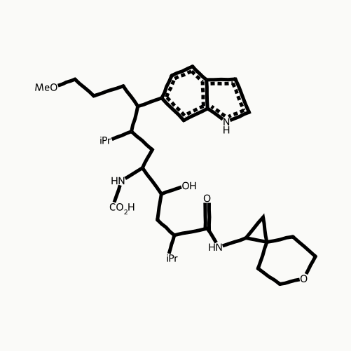 COCCCC(c1ccc2cc[nH]c2c1)C(CC(NC(=O)O)C(O)CC(C(=O)NC1CC12CCOCC2)C(C)C)C(C)C